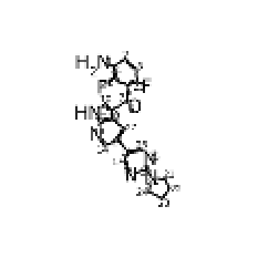 Nc1ccc(F)c(C(=O)c2c[nH]c3ncc(-c4cnc(N5CCCC5)nc4)cc23)c1F